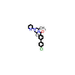 CC1CN(c2ccccn2)CC(C)N1C(=O)c1ccc(-c2ccc(Cl)cc2)cc1